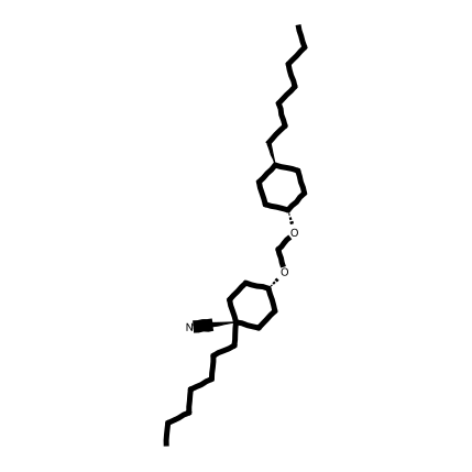 CCCCCCC[C@H]1CC[C@H](OCO[C@H]2CC[C@@](C#N)(CCCCCCC)CC2)CC1